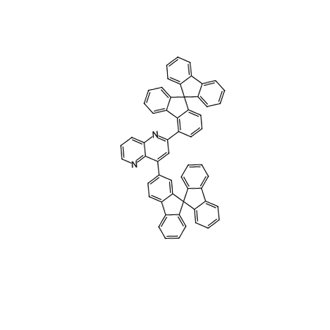 c1ccc2c(c1)-c1ccccc1C21c2ccccc2-c2ccc(-c3cc(-c4cccc5c4-c4ccccc4C54c5ccccc5-c5ccccc54)nc4cccnc34)cc21